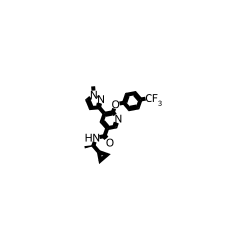 C[C@@H](NC(=O)c1cnc(Oc2ccc(C(F)(F)F)cc2)c(-c2ccn(C)n2)c1)C1CC1